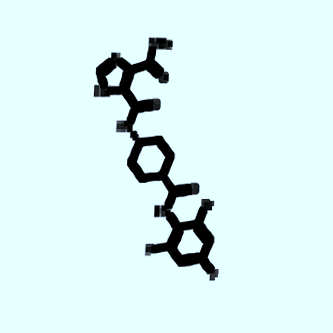 CNC(=O)c1nc[nH]c1C(=O)N[C@H]1CC[C@H](C(=O)Nc2c(F)cc(F)cc2Br)CC1